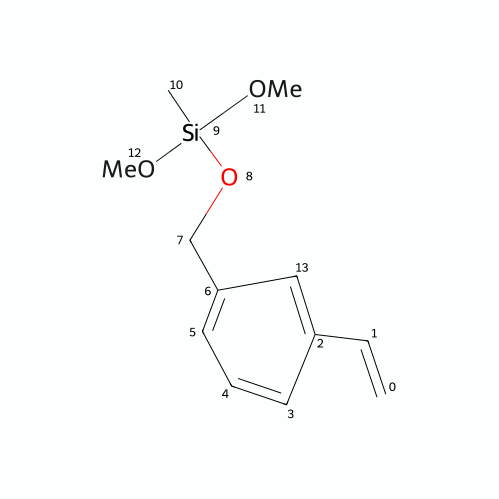 C=Cc1cccc(CO[Si](C)(OC)OC)c1